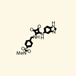 CNS(=O)(=O)c1ccc(CNc2c(Nc3ccc4[nH]cnc4c3)c(=O)c2=O)cc1